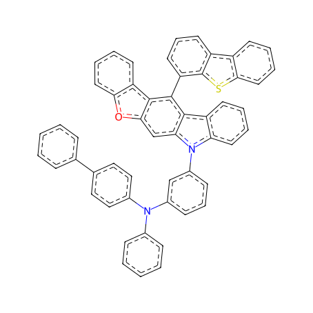 c1ccc(-c2ccc(N(c3ccccc3)c3cccc(-n4c5ccccc5c5c(-c6cccc7c6sc6ccccc67)c6c(cc54)oc4ccccc46)c3)cc2)cc1